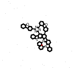 c1ccc(-n2c3ccccc3c3ccc4c5cc(-c6ccc7oc8cccc(-c9nc(-c%10ccc%11c(c%10)oc%10ccccc%10%11)nc(-c%10cccc%11sc%12ccccc%12c%10%11)n9)c8c7c6)ccc5n(-c5ccccc5)c4c32)cc1